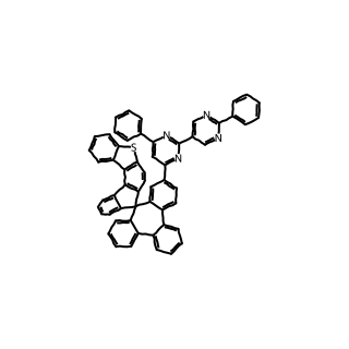 c1ccc(-c2cc(-c3ccc4c(c3)C3(c5ccccc5-c5ccccc5-4)c4ccccc4-c4c3ccc3sc5ccccc5c43)nc(-c3cnc(-c4ccccc4)nc3)n2)cc1